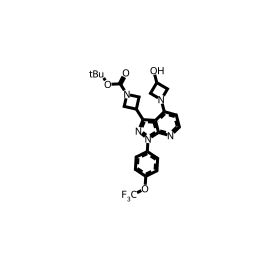 CC(C)(C)OC(=O)N1CC(c2nn(-c3ccc(OC(F)(F)F)cc3)c3nccc(N4CC(O)C4)c23)C1